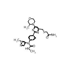 CNC(=O)N(c1ccc(-c2nc(CSCC(N)=O)cc(N3CCOC[C@@H]3C)n2)cc1)c1cnn(C)c1